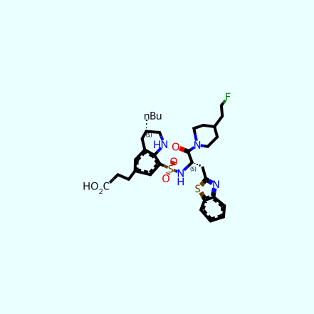 CCCC[C@@H]1CNc2c(cc(CCC(=O)O)cc2S(=O)(=O)N[C@@H](Cc2nc3ccccc3s2)C(=O)N2CCC(CCF)CC2)C1